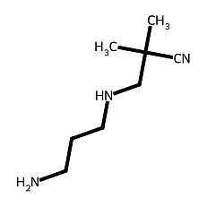 CC(C)(C#N)CNCCCN